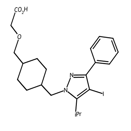 CC(C)c1c(I)c(-c2ccccc2)nn1CC1CCC(COCC(=O)O)CC1